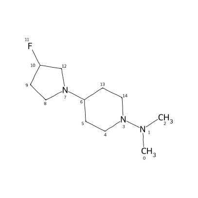 CN(C)N1CCC(N2CCC(F)C2)CC1